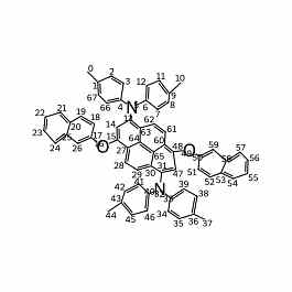 Cc1ccc(N(c2ccc(C)cc2)c2cc(Oc3ccc4ccccc4c3)c3ccc4c(N(c5ccc(C)cc5)c5ccc(C)cc5)cc(Oc5ccc6ccccc6c5)c5ccc2c3c54)cc1